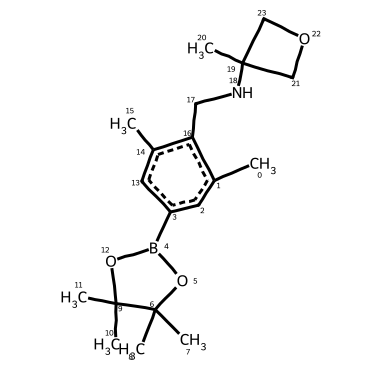 Cc1cc(B2OC(C)(C)C(C)(C)O2)cc(C)c1CNC1(C)COC1